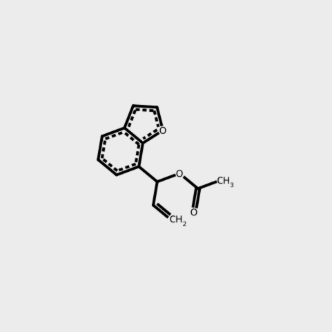 C=CC(OC(C)=O)c1cccc2ccoc12